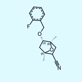 C[C@@]12C[C@H](OCc3ccccc3F)[C@@](C)(CC1C#N)O2